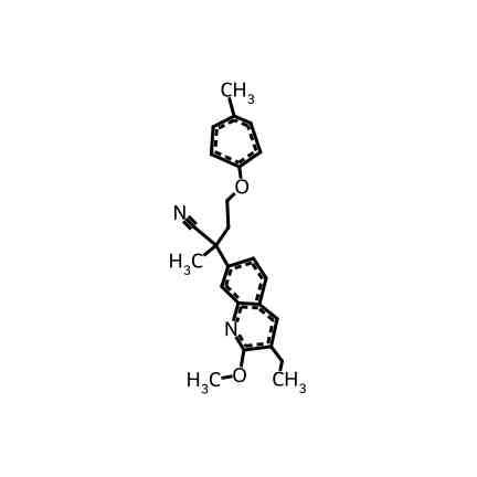 CCc1cc2ccc(C(C)(C#N)CCOc3ccc(C)cc3)cc2nc1OC